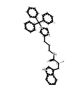 C[C@H](Cc1c[nH]c2ccccc12)C(=S)NCCCc1cn(C(c2ccccc2)(c2ccccc2)c2ccccc2)cn1